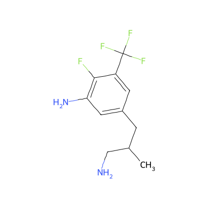 CC(CN)Cc1cc(N)c(F)c(C(F)(F)F)c1